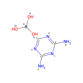 Nc1ncnc(N)n1.OB(O)O